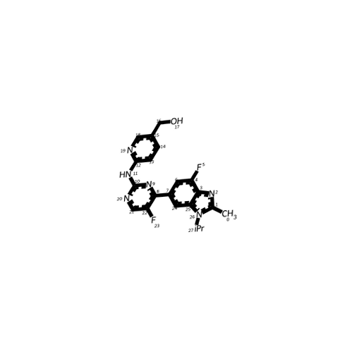 Cc1nc2c(F)cc(-c3nc(Nc4ccc(CO)cn4)ncc3F)cc2n1C(C)C